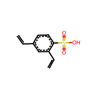 C=Cc1ccc(S(=O)(=O)O)c(C=C)c1